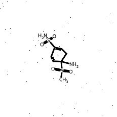 CS(=O)(=O)C1(N)C=CC(S(N)(=O)=O)=CC1